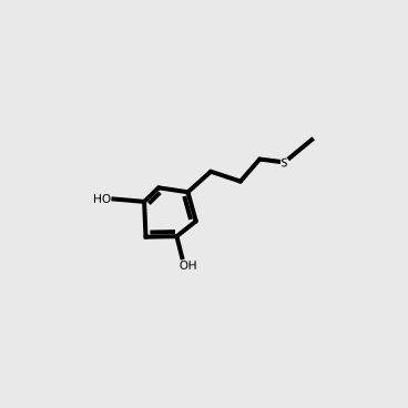 CSCCCc1cc(O)cc(O)c1